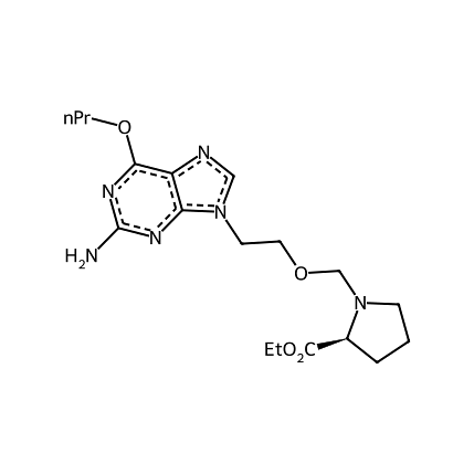 CCCOc1nc(N)nc2c1ncn2CCOCN1CCC[C@H]1C(=O)OCC